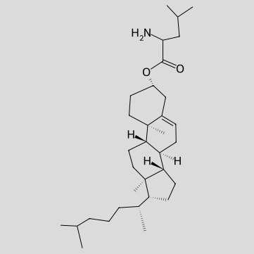 CC(C)CCC[C@@H](C)[C@H]1CC[C@H]2[C@@H]3CC=C4C[C@@H](OC(=O)C(N)CC(C)C)CC[C@]4(C)[C@H]3CC[C@]12C